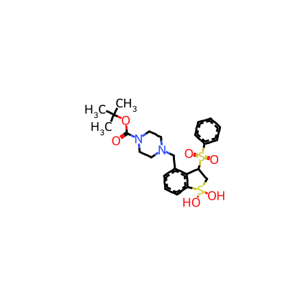 CC(C)(C)OC(=O)N1CCN(Cc2cccc3c2C(S(=O)(=O)c2ccccc2)CS3(O)O)CC1